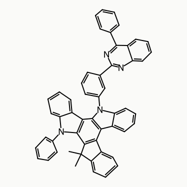 CC1(C)c2ccccc2-c2c1c1c(c3ccccc3n1-c1ccccc1)c1c2c2ccccc2n1-c1cccc(-c2nc(-c3ccccc3)c3ccccc3n2)c1